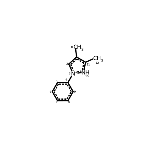 Cc1c[n+](-c2ccccc2)[nH]c1C